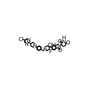 O=C1CCC(N2Cc3cc(C4(O)CCN(Cc5ccc(N6CCC(c7ncc(Cl)cn7)CC6)cc5)CC4)c(F)cc3C2=O)C(=O)N1